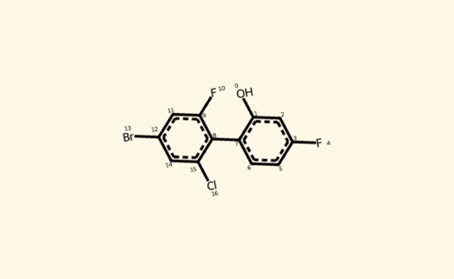 Oc1cc(F)ccc1-c1c(F)cc(Br)cc1Cl